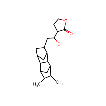 CC1C(C)C2CC1C1C3CC(CC(O)C4CCOC4=O)C(C3)C21